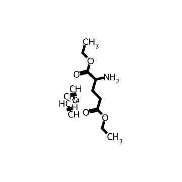 C.C#C.C#C.CCOC(=O)CCC(N)C(=O)OCC